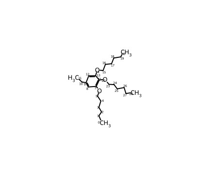 CCCCCCOc1cc(CC)cc(OCCCCCC)c1OCCCCCC